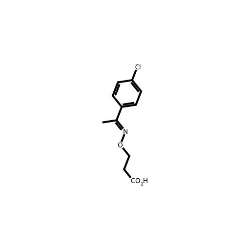 CC(=NOCCC(=O)O)c1ccc(Cl)cc1